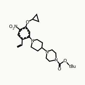 C=Cc1cc([N+](=O)[O-])c(OC2CC2)cc1N1CCC(N2CCN(C(=O)OC(C)(C)C)CC2)CC1